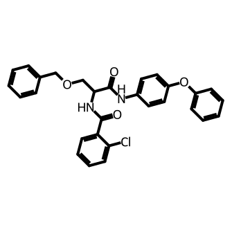 O=C(NC(COCc1ccccc1)C(=O)Nc1ccc(Oc2ccccc2)cc1)c1ccccc1Cl